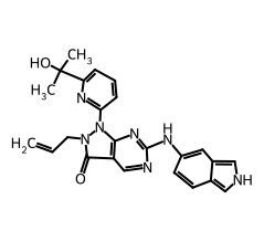 C=CCn1c(=O)c2cnc(Nc3ccc4c[nH]cc4c3)nc2n1-c1cccc(C(C)(C)O)n1